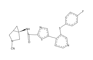 N#CN1CC2C[C@]2(NC(=O)c2ncc(-c3ccncc3Sc3ccc(F)cc3)s2)C1